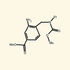 CCN(Cc1ccc(C(=O)OC)cc1N)C(=O)OC(C)(C)C